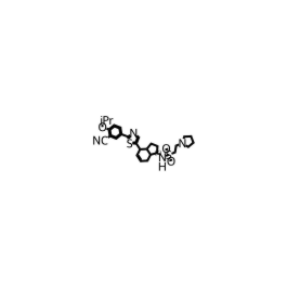 CC(C)Oc1ccc(-c2ncc(C3C=CCC4C3CC[C@@H]4NS(=O)(=O)CCN3CCCC3)s2)cc1C#N